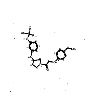 O=C(COc1ccc(CO)cc1)N1CCC(Oc2cccc(OC(F)(F)F)c2)C1